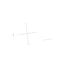 CCCC(C)(CCC)CCCl